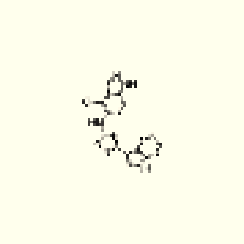 Cn1nc(-c2c[nH]c3ccncc23)nc1Nc1ccc2[nH]ncc2c1Cl